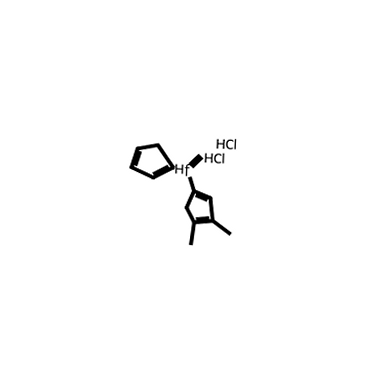 Cl.Cl.[CH2]=[Hf]([C]1=CC=CC1)[C]1=CC(C)=C(C)C1